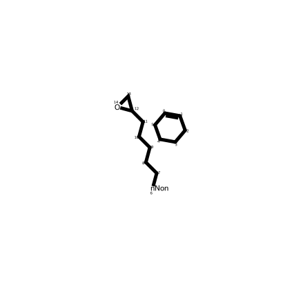 C1=CCCCC1.CCCCCCCCCCCCCCC1CO1